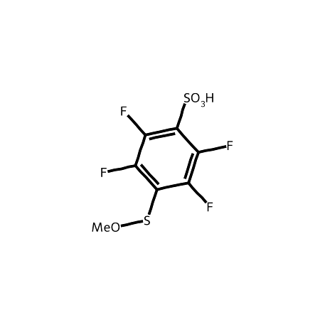 COSc1c(F)c(F)c(S(=O)(=O)O)c(F)c1F